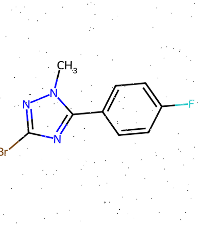 Cn1nc(Br)nc1-c1ccc(F)cc1